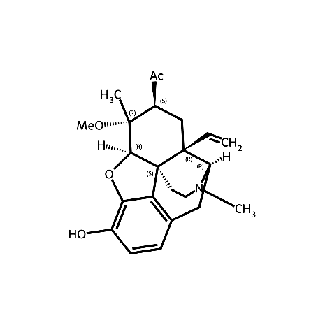 C=C[C@]12C[C@H](C(C)=O)[C@@](C)(OC)[C@@H]3Oc4c(O)ccc5c4[C@@]31CCN(C)[C@@H]2C5